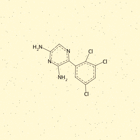 Nc1cnc(-c2cc(Cl)cc(Cl)c2Cl)c(N)n1